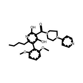 CCCCc1nc(O)c(C(=O)N2CCN(c3ccncc3)CC2)c(O)c1-c1c(OC)cccc1OC